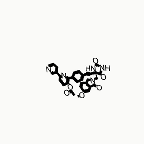 COc1ccc2c(c1)C(=O)N(C[C@@]1(C#Cc3ccc(-c4nc(-c5cccnc5)ccc4OC(C)=O)cc3)NC(=O)NC1=O)C2